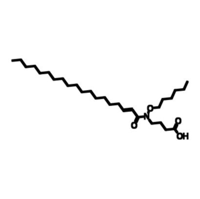 CCCCCCCCCCCCCCCCC=CC(=O)N(CCCC(=O)O)OCCCCCC